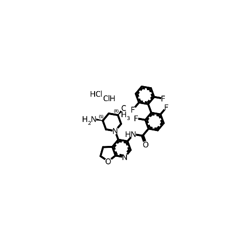 C[C@@H]1C[C@H](N)CN(c2c(NC(=O)c3ccc(F)c(-c4c(F)cccc4F)c3F)cnc3c2CCO3)C1.Cl.Cl